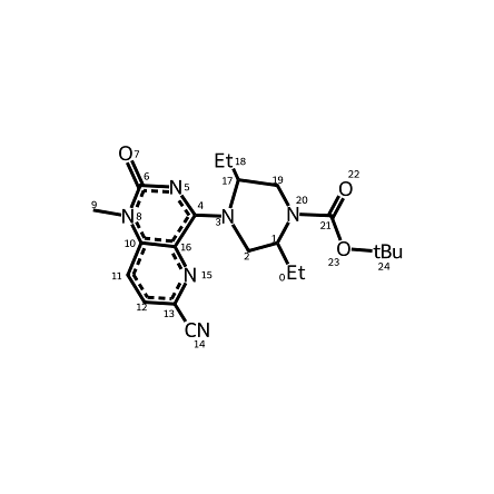 CCC1CN(c2nc(=O)n(C)c3ccc(C#N)nc23)C(CC)CN1C(=O)OC(C)(C)C